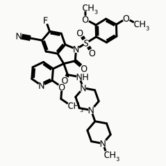 CCOc1ncccc1C1(C(=O)NN2CCN(C3CCN(C)CC3)CC2)C(=O)N(S(=O)(=O)c2ccc(OC)cc2OC)c2cc(F)c(C#N)cc21